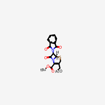 CC(=O)OCC1=C(C(=O)OC(C)(C)C)N2C(=O)C(N3C(=O)c4ccccc4C3=O)[C@@H]2SC1